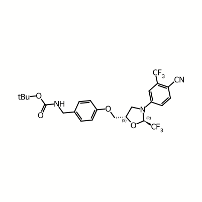 CC(C)(C)OC(=O)NCc1ccc(OC[C@@H]2CN(c3ccc(C#N)c(C(F)(F)F)c3)[C@@H](C(F)(F)F)O2)cc1